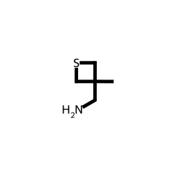 CC1(CN)CSC1